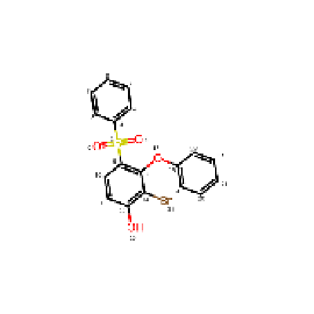 O=S(=O)(c1ccccc1)c1ccc(O)c(Br)c1Oc1ccccc1